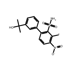 CC(C)(O)c1cccc(-c2ccc([N+](=O)[O-])c(F)c2S(N)(=O)=O)c1